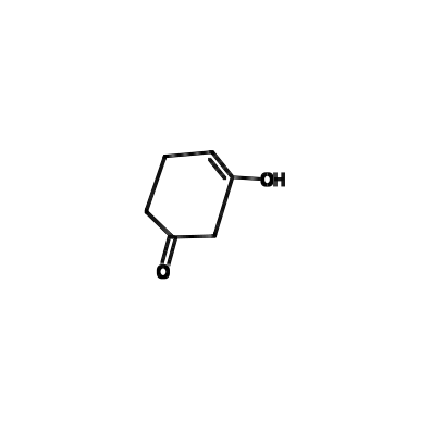 O=C1CCC=C(O)C1